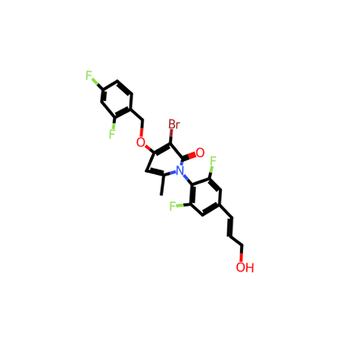 Cc1cc(OCc2ccc(F)cc2F)c(Br)c(=O)n1-c1c(F)cc(C=CCO)cc1F